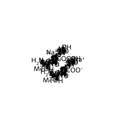 CON=C(C(=O)NC1C(=O)N2C(C(=O)[O-])=C(CSc3nc(=O)c(O)nn3C)CS[C@@H]12)c1csc(N)n1.CON=C(C(=O)NC1C(=O)N2C(C(=O)[O-])=C(CSc3nc(=O)c(O)nn3C)CS[C@@H]12)c1csc(N)n1.[Na+].[Na+]